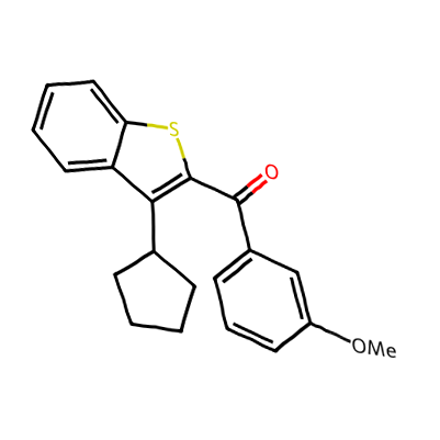 COc1cccc(C(=O)c2sc3ccccc3c2C2CCCC2)c1